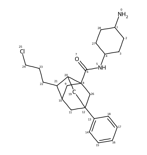 NC1CCC(NC(=O)C23CC4CC(c5ccccc5)(CC2C4CCCCl)C3)CC1